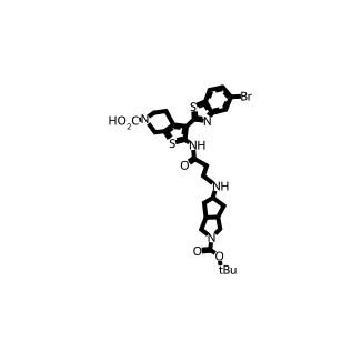 CC(C)(C)OC(=O)N1CC2CC(NCCC(=O)Nc3sc4c(c3-c3nc5cc(Br)ccc5s3)CCN(C(=O)O)C4)CC2C1